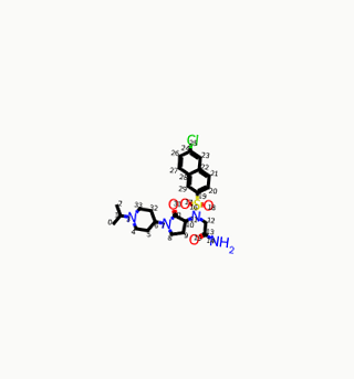 CC(C)N1CCC(N2CCC(N(CC(N)=O)S(=O)(=O)c3ccc4cc(Cl)ccc4c3)C2=O)CC1